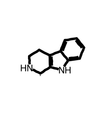 [CH]1NCCc2c1[nH]c1ccccc21